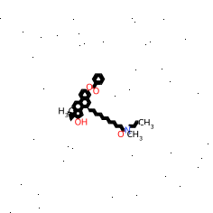 CCCCN(C)C(=O)CCCCCCCCCC[C@@H]1Cc2cc(OC(=O)c3ccccc3)ccc2C2CC[C@@]3(C)C(C[C@@H](O)C34CC4)C21